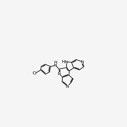 Clc1ccc(Nc2nc3cnccc3c3c2[nH]c2cnccc23)cc1